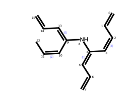 C=C/C=C\C(=C/C=C)NC(/C=C\C)=C/C=C